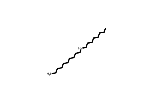 CCCCCCCCNCCCCCCCCCN